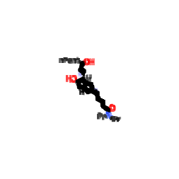 CCCCC[C@H](O)/C=C/[C@@H]1[C@H]2C/C(=C/CCCC(=O)N(C(C)C)C(C)C)C[C@H]2C[C@H]1O